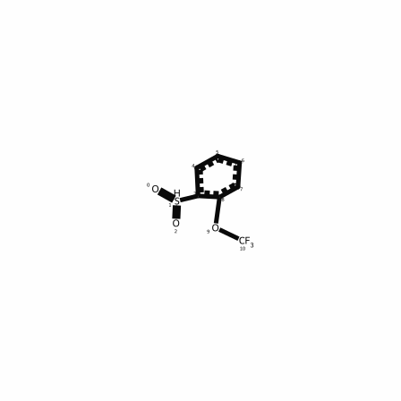 O=[SH](=O)c1ccccc1OC(F)(F)F